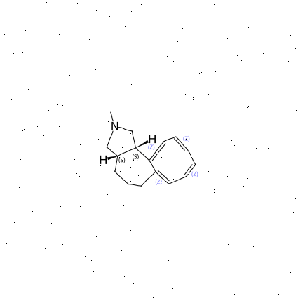 CN1C[C@H]2CCCC3=C/C=C\C=C/C=C\3[C@H]2C1